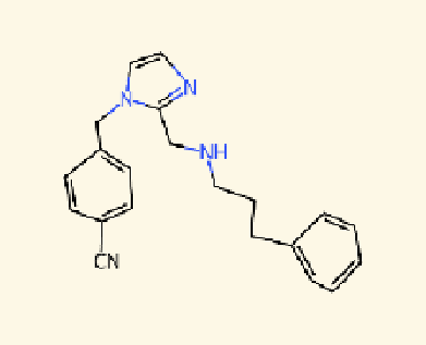 N#Cc1ccc(Cn2ccnc2CNCCCc2ccccc2)cc1